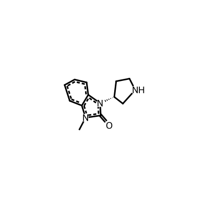 Cn1c(=O)n([C@@H]2CCNC2)c2ccccc21